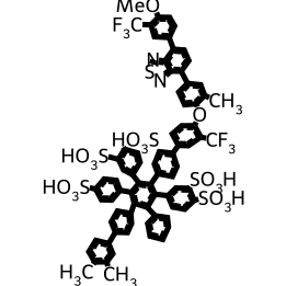 COc1ccc(-c2ccc(-c3ccc(Oc4ccc(-c5ccc(-c6c(-c7ccc(S(=O)(=O)O)c(S(=O)(=O)O)c7)c(-c7ccccc7)c(-c7ccc(-c8ccc(C)c(C)c8)cc7)c(-c7ccc(S(=O)(=O)O)cc7)c6-c6ccc(S(=O)(=O)O)c(S(=O)(=O)O)c6)cc5)cc4C(F)(F)F)c(C)c3)c3nsnc23)cc1C(F)(F)F